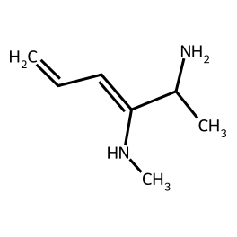 C=C/C=C(\NC)C(C)N